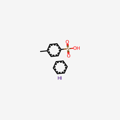 Cc1ccc(S(=O)(=O)O)cc1.I.c1ccccc1